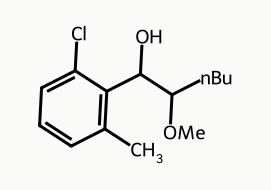 CCCCC(OC)C(O)c1c(C)cccc1Cl